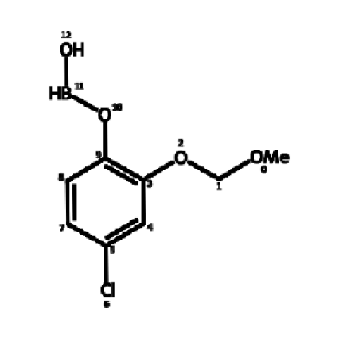 COCOc1cc(Cl)ccc1OBO